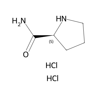 Cl.Cl.NC(=O)[C@@H]1CCCN1